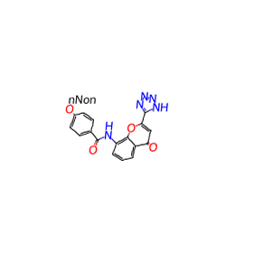 CCCCCCCCCOc1ccc(C(=O)Nc2cccc3c(=O)cc(-c4nnn[nH]4)oc23)cc1